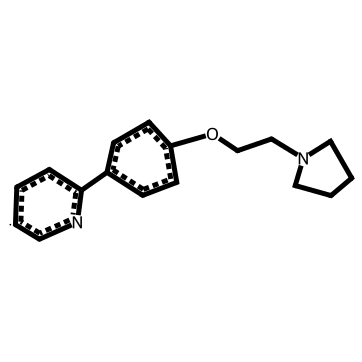 [c]1ccc(-c2ccc(OCCN3CCCC3)cc2)nc1